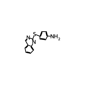 Nc1ccc(Sc2ncc3ccccc3n2)cc1